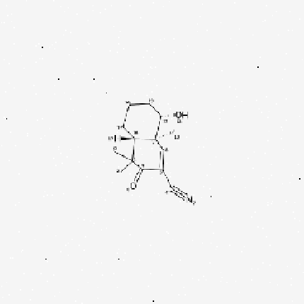 CC1(C)C(=O)C(C#N)=C[C@]2(C)[C@@H](O)CCC[C@@H]12